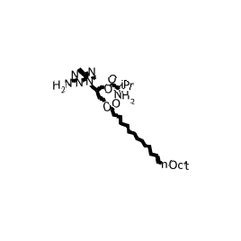 CCCCCCCCC=CCCCCCCCCCCCC(=O)OCCC(COC(=O)[C@@H](N)C(C)C)Cn1cnc2cnc(N)nc21